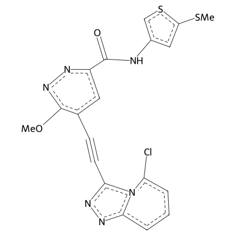 COc1nnc(C(=O)Nc2csc(SC)c2)cc1C#Cc1nnc2cccc(Cl)n12